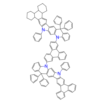 c1ccc(-n2c3cc4c(cc3c3cc5c(cc32)N(c2ccc3c6ccc(N7c8ccccc8C(c8ccccc8)(c8ccccc8)c8cc9c%10cc%11c%12ccccc%12c%12ccccc%12c%11cc%10n(-c%10ccccc%10)c9cc87)cc6c6ccccc6c3c2)c2ccccc2C5(c2ccccc2)c2ccccc2)C2CCCCC2C2CCCCC42)cc1